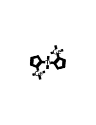 [CH3][Ti]([CH3])([C]1=[C]([Ge]([CH3])([CH3])[CH3])C=CC1)[C]1=[C]([Ge]([CH3])([CH3])[CH3])C=CC1